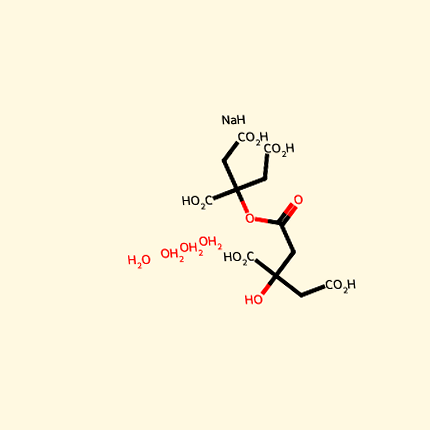 O.O.O.O.O=C(O)CC(O)(CC(=O)OC(CC(=O)O)(CC(=O)O)C(=O)O)C(=O)O.[NaH]